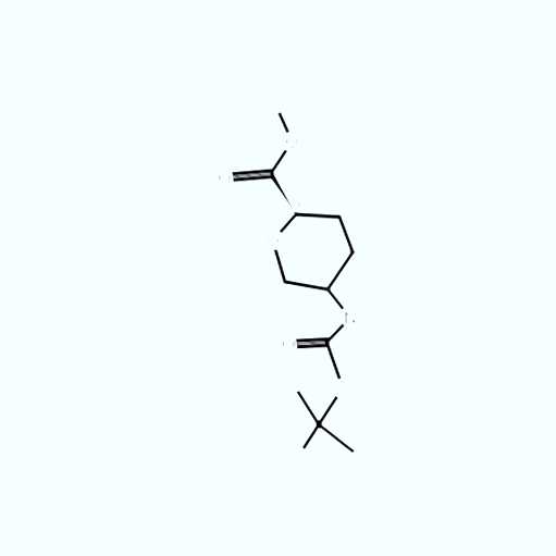 COC(=O)[C@H]1CCC(NC(=O)OC(C)(C)C)CO1